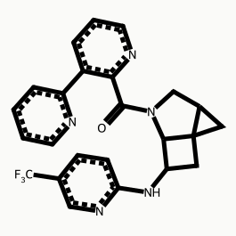 O=C(c1ncccc1-c1ccccn1)N1CC2CC23CC(Nc2ccc(C(F)(F)F)cn2)C13